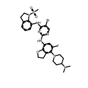 CN(C)C1CCN(c2c(F)cc(Nc3ncc(Br)c(Nc4cccc5c4N(S(C)(=O)=O)CC5)n3)c3c2CCO3)CC1